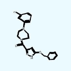 O=C(c1cc(OCc2ccccc2)[nH]n1)N1CCN(c2cccc(Cl)c2)CC1